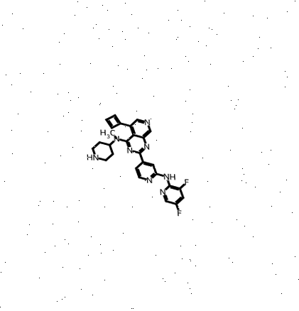 CN(c1nc(-c2ccnc(Nc3ncc(F)cc3F)c2)nc2cncc(C3=CC=C3)c12)C1CCNCC1